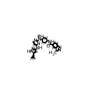 Cn1nnc2ccc(C(=O)N[C@H]3CC[C@H](N(C)c4nccc(Nc5cc(C6CC6)[nH]n5)n4)CC3)cc21